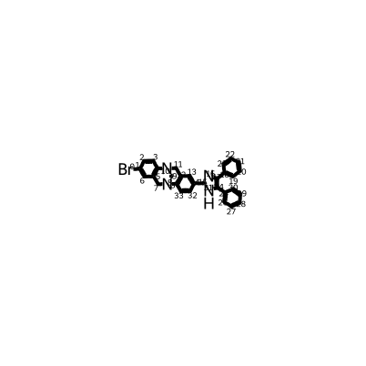 Brc1ccc2c(c1)CN1CN2Cc2cc(-c3nc(-c4ccccc4)c(-c4ccccc4)[nH]3)ccc21